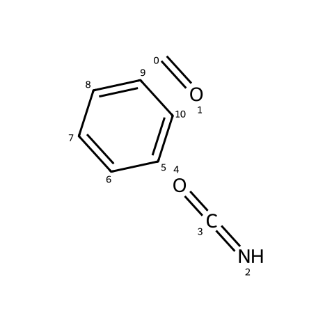 C=O.N=C=O.c1ccccc1